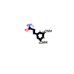 COc1cc(/C=C/C(N)=O)cc(OC)c1